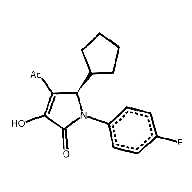 CC(=O)C1=C(O)C(=O)N(c2ccc(F)cc2)[C@@H]1C1CCCC1